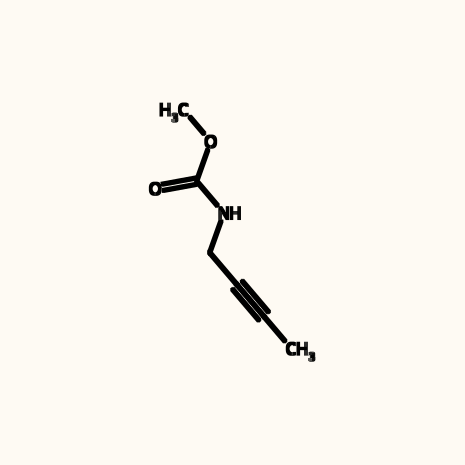 CC#CCNC(=O)OC